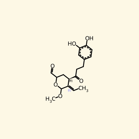 C/C=C1/C(OC)OC(C=O)C[C@H]1C(=O)CCc1ccc(O)c(O)c1